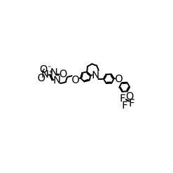 O=[N+]([O-])c1cn2c(n1)OC(COc1ccc3c(c1)CCCCN3Cc1ccc(Oc3ccc(OC(F)(F)F)cc3)cc1)CC2